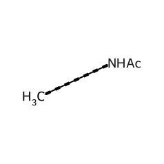 CC#CC#CC#CC#CC#CC#CC#CNC(C)=O